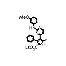 CCOC(=O)c1[nH]c(C)c(-c2ccnc(Nc3cccc(OC)c3)n2)c1-c1ccccc1